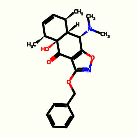 C[C@@H]1C=C[C@H](C)[C@H]2[C@H](N(C)C)c3onc(OCc4ccccc4)c3C(=O)[C@]21O